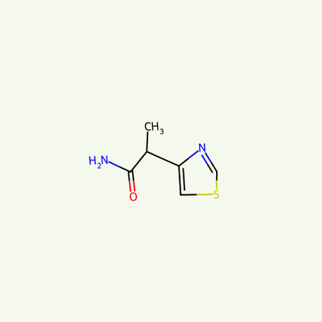 CC(C(N)=O)c1cscn1